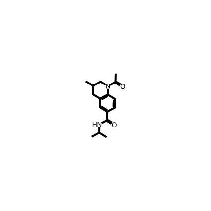 CC(=O)N1CC(C)Cc2cc(C(=O)NC(C)C)ccc21